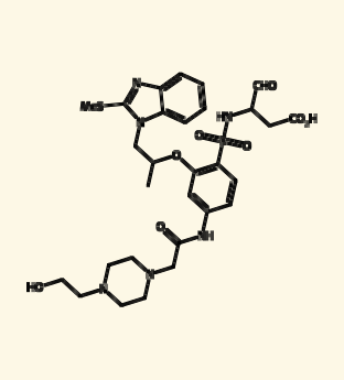 CSc1nc2ccccc2n1CC(C)Oc1cc(NC(=O)CN2CCN(CCO)CC2)ccc1S(=O)(=O)NC(C=O)CC(=O)O